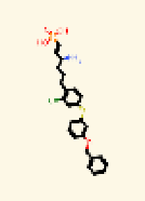 NC(C=CP(=O)(O)O)CCCc1ccc(Sc2cccc(OCc3ccccc3)c2)cc1Cl